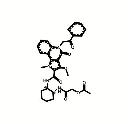 COc1c(C(=O)N[C@@H]2CCCC[C@H]2NC(=O)COC(C)=O)n(C)c2c1c(=O)n(CC(=O)c1ccccc1)c1ccccc21